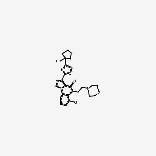 O=c1c2c(-c3nc(C4(O)CCCC4)no3)ncn2c2cccc(Cl)c2n1CCN1CCOCC1